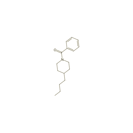 CCC[CH]C1CCN(C(=O)c2ccccc2)CC1